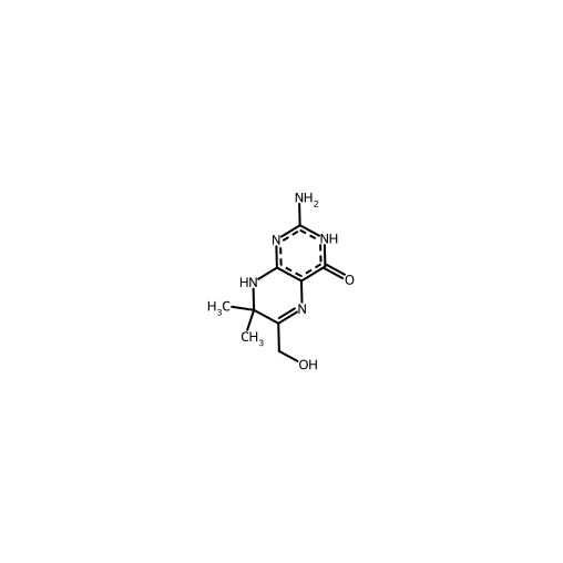 CC1(C)Nc2nc(N)[nH]c(=O)c2N=C1CO